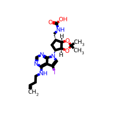 C=CCCNc1ncnc2c1c(I)cn2[C@@H]1C[C@H](CNC(=O)O)[C@H]2OC(C)(C)O[C@H]21